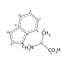 CC(N)C(=O)O.c1ccc2sccc2c1